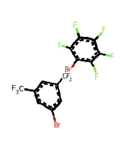 FC(F)(F)c1cc(Br)cc(C(F)(F)F)c1.Fc1c(F)c(F)c(Br)c(F)c1F